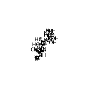 O=P(O)(O)[C@@](CO)(Cc1nn[nH]n1)OC[C@@H]1O[C@@H](n2ncc3c(NC4CCC4)nc(Cl)nc32)[C@H](O)[C@@H]1O